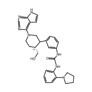 O=C(Nc1cccc(C2CN(c3ncnc4[nH]ccc34)CC[C@H]2CO)c1)Nc1ccccc1N1CCCC1